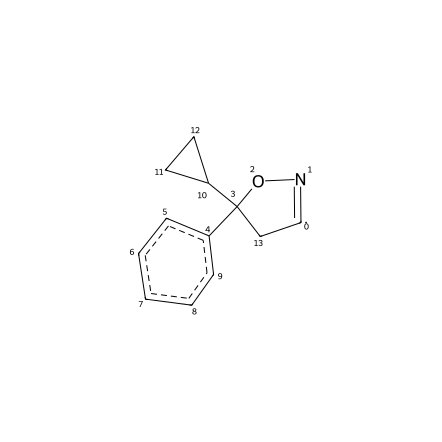 [C]1=NOC(c2ccccc2)(C2CC2)C1